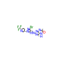 Cc1nc(NCc2cn(Cc3ccc(C(F)(F)F)nc3)nc2Br)nc2c1NC(=O)[C@H](C)N2C